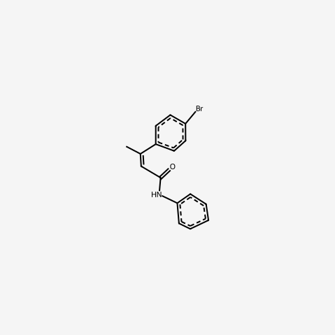 CC(=CC(=O)Nc1ccccc1)c1ccc(Br)cc1